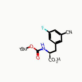 CC(C)(C)OC(=O)N[C@@H](Cc1cc(F)cc(C#N)c1)C(=O)O